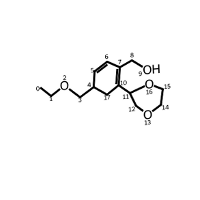 CCOCC1C=CC(CO)=C(C2COCCO2)C1